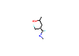 CNC(F)C(CF)CC(C)O